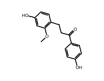 COc1cc(O)ccc1CCC(=O)c1ccc(O)cc1